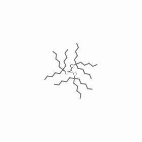 CCCCCC(CCCCC)(CCCCC)OB(OC(CCCCC)(CCCCC)CCCCC)OC(CCCCC)(CCCCC)CCCCC